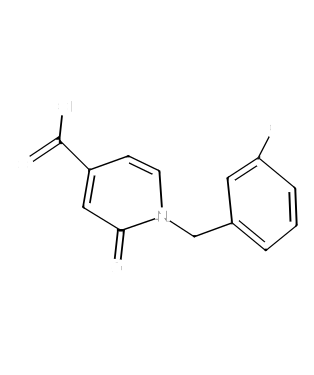 O=C(O)c1ccn(Cc2cccc(Cl)c2)c(=O)c1